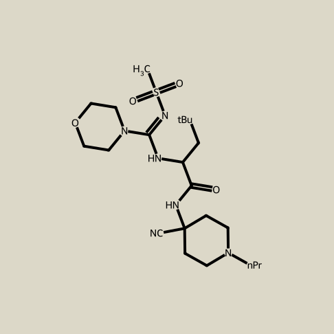 CCCN1CCC(C#N)(NC(=O)C(CC(C)(C)C)NC(=NS(C)(=O)=O)N2CCOCC2)CC1